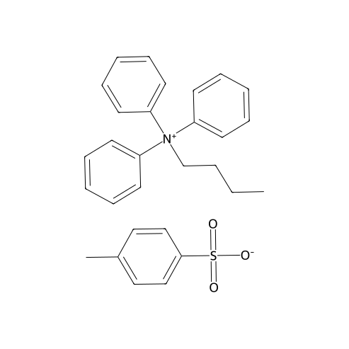 CCCC[N+](c1ccccc1)(c1ccccc1)c1ccccc1.Cc1ccc(S(=O)(=O)[O-])cc1